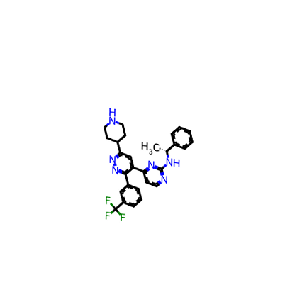 C[C@@H](Nc1nccc(-c2cc(C3CCNCC3)nnc2-c2cccc(C(F)(F)F)c2)n1)c1ccccc1